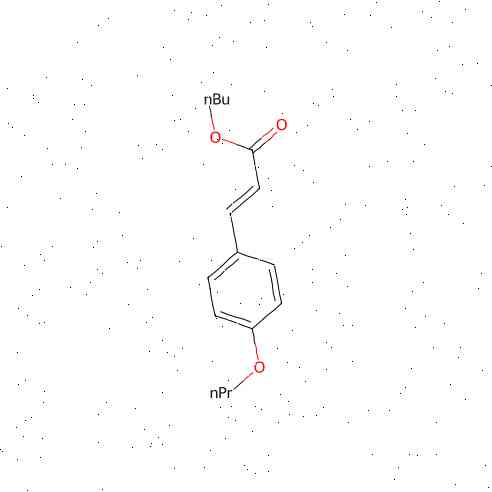 CCCCOC(=O)C=Cc1ccc(OCCC)cc1